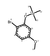 COc1ccc(Br)c(O[Si](C)(C)C)c1